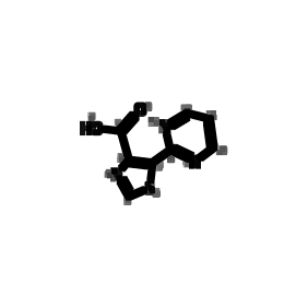 O=C(O)c1ncsc1-c1ncccn1